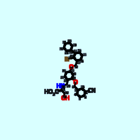 N#Cc1cccc(COc2cc(OCc3cccc(-c4ccccc4)c3Br)ccc2CNC(CO)C(=O)O)c1